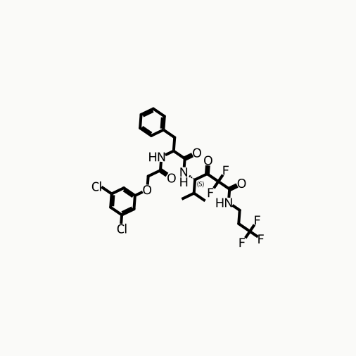 CC(C)[C@H](NC(=O)C(Cc1ccccc1)NC(=O)COc1cc(Cl)cc(Cl)c1)C(=O)C(F)(F)C(=O)NCCC(F)(F)F